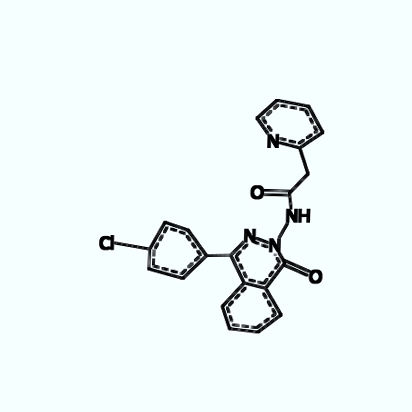 O=C(Cc1ccccn1)Nn1nc(-c2ccc(Cl)cc2)c2ccccc2c1=O